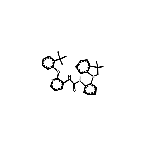 CC(C)(C)c1ccccc1Oc1ncccc1NC(=O)Nc1ccccc1N1CC(C)(C)c2ccccc21